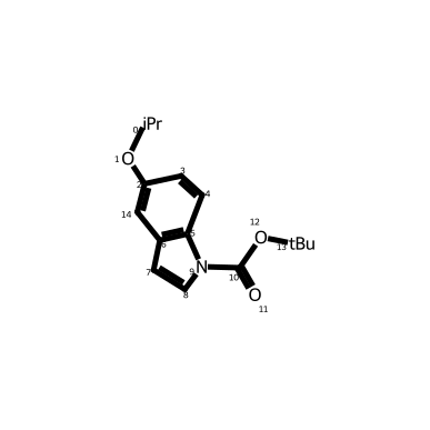 CC(C)Oc1ccc2c(ccn2C(=O)OC(C)(C)C)c1